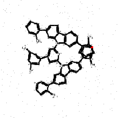 Cc1ccccc1-c1ccc2c3ccc(-c4ccccc4C)cc3n(-c3cc(-c4cc(C(F)(F)F)cc(C(F)(F)F)c4)cc(-n4c5cc(-c6ccccc6C)ccc5c5ccc(-c6ccccc6C)cc54)n3)c2c1